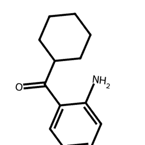 Nc1ccccc1C(=O)C1CCCCC1